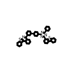 c1ccc(-c2nc(-c3ccc(-c4cccc(-c5nc6sc7ccccc7c6c6ccccc56)c4)cc3)nc(-c3cccc4c3sc3ccccc34)n2)cc1